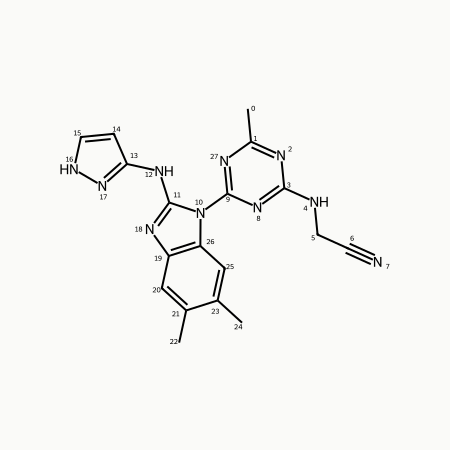 Cc1nc(NCC#N)nc(-n2c(Nc3cc[nH]n3)nc3cc(C)c(C)cc32)n1